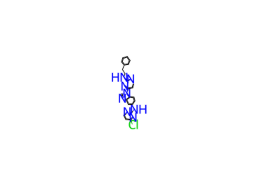 Clc1ccnc(Nc2ccc3c(c2)ncn3-c2ccnc(NCCc3ccccc3)n2)n1